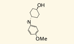 COc1ccc([N][C@H]2CC[C@H](O)CC2)cc1